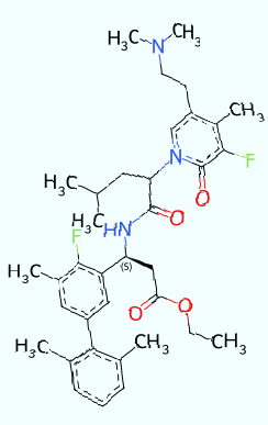 CCOC(=O)C[C@H](NC(=O)C(CC(C)C)n1cc(CCN(C)C)c(C)c(F)c1=O)c1cc(-c2c(C)cccc2C)cc(C)c1F